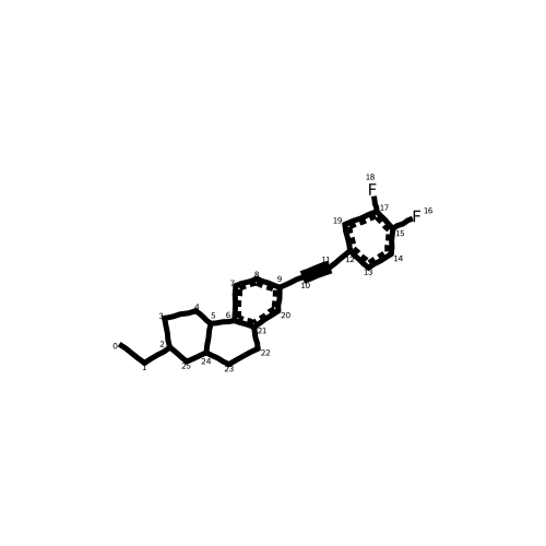 CCC1CCC2c3ccc(C#Cc4ccc(F)c(F)c4)cc3CCC2C1